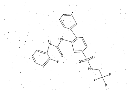 O=C(Nc1ccccc1F)Nc1cc(S(=O)(=O)NCC(F)(F)F)ccc1-c1ccccc1